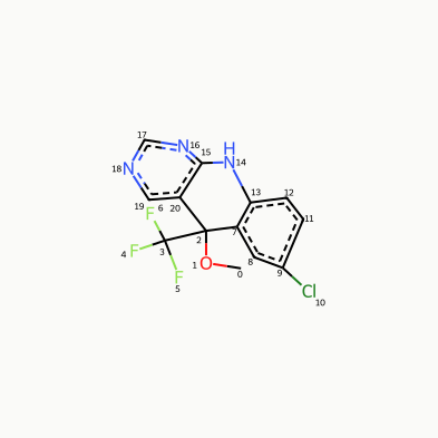 COC1(C(F)(F)F)c2cc(Cl)ccc2Nc2ncncc21